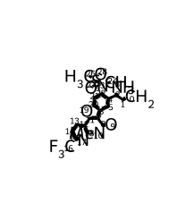 C=CC(=N)c1cc2c(C(=O)NC)c(-c3ccc(C(F)(F)F)nc3)oc2cc1N(C)S(C)(=O)=O